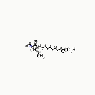 C=CCN(CCCCCCCCCOC(=O)O)C(=O)/C(C)=C/I